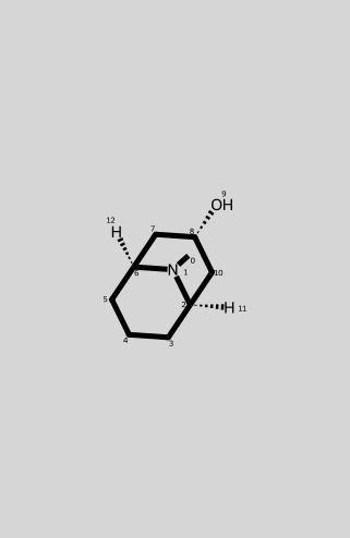 CN1[C@@H]2CCC[C@H]1C[C@H](O)C2